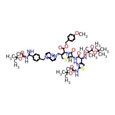 COc1ccc(COC(=O)C2=C(C[n+]3ccc4n(Cc5ccc(C(=N)NC(=O)OC(C)(C)C)cc5)ccn43)CS[C@@H]3[C@H](NC(=O)/C(=N\OC(C)(C)C(=O)OC(C)(C)C)c4csc(NC(=O)OC(C)(C)C)n4)C(=O)N23)cc1